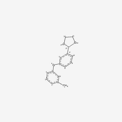 Cc1cccc(Oc2cccc(C3OCCO3)c2)c1